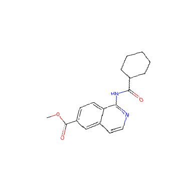 COC(=O)c1ccc2c(NC(=O)C3CCCCC3)nccc2c1